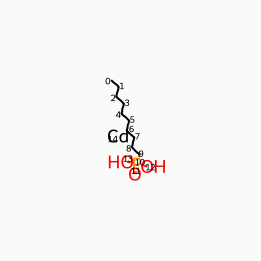 CCCCCCCCCCP(=O)(O)O.[Cd]